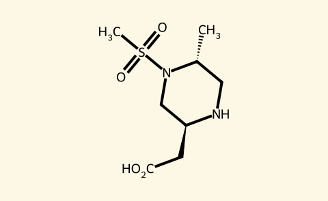 C[C@@H]1CN[C@@H](CC(=O)O)CN1S(C)(=O)=O